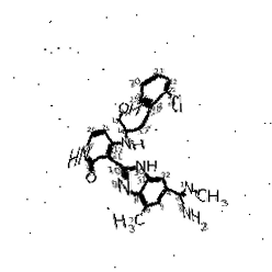 CN=C(N)c1cc(C)c2nc(-c3c(NC(CO)Cc4ccccc4Cl)cc[nH]c3=O)[nH]c2c1